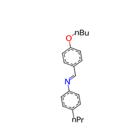 CCCCOc1ccc(C=Nc2ccc(CCC)cc2)cc1